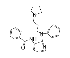 O=C(Nc1cccnc1N(CCCN1CCCC1)c1ccccc1)c1ccccc1